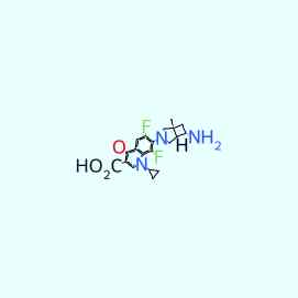 C[C@@]12C[C@H](N)[C@@H]1CN(c1c(F)cc3c(=O)c(C(=O)O)cn(C4CC4)c3c1F)C2